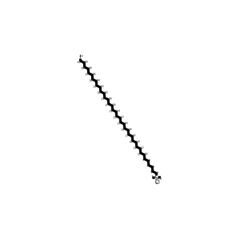 C[Si](C)(Cl)CCCCCCCCCCCCCCCCCCCCCCCCCCCCCCCCCCCCCCI